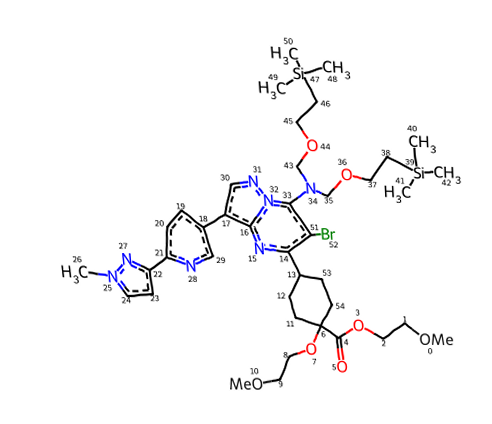 COCCOC(=O)C1(OCCOC)CCC(c2nc3c(-c4ccc(-c5ccn(C)n5)nc4)cnn3c(N(COCC[Si](C)(C)C)COCC[Si](C)(C)C)c2Br)CC1